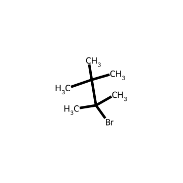 CC(C)(C)C(C)(C)Br